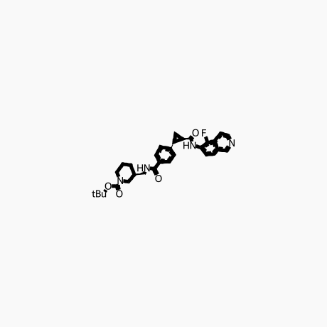 CC(C)(C)OC(=O)N1CCC[C@@H](CNC(=O)c2ccc([C@@H]3C[C@H]3C(=O)Nc3ccc4cnccc4c3F)cc2)C1